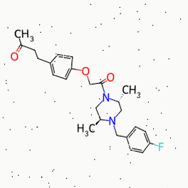 CC(=O)CCc1ccc(OCC(=O)N2C[C@H](C)N(Cc3ccc(F)cc3)C[C@H]2C)cc1